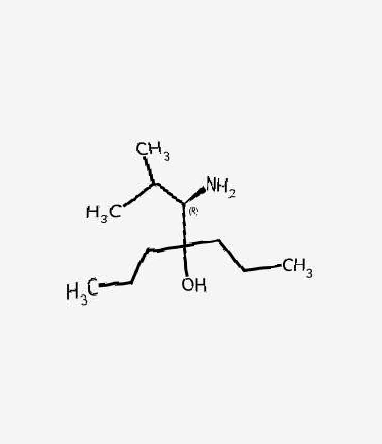 CCCC(O)(CCC)[C@H](N)C(C)C